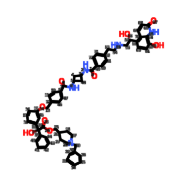 O=C(NC1CC(NC(=O)c2ccc(COc3cccc([C@](O)(C(=O)OCC4CCN(Cc5ccccc5)CC4)c4ccccc4)c3)cc2)C1)c1ccc(CCNC[C@H](O)c2ccc(O)c3[nH]c(=O)ccc23)cc1